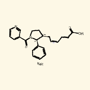 O=C(O)CC/C=C\C[C@@H]1CCN(C(=O)c2cccnc2)[C@@H]1c1ccccc1.[NaH]